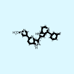 Cn1cc(-c2ccc3[nH]nc(-c4cc5c(-c6cccc(F)c6)nccc5[nH]4)c3n2)cn1